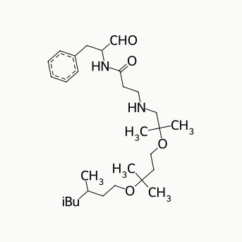 CCC(C)C(C)CCOC(C)(C)CCOC(C)(C)CNCCC(=O)NC(C=O)Cc1ccccc1